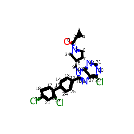 O=C(C1CC1)N1CC[C@@H](Cn2c(-c3ccc(-c4ccc(Cl)cc4Cl)cc3)nc3c(Cl)ncnc32)C1